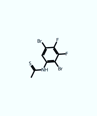 CC(=S)Nc1cc(Br)c(F)c(F)c1Br